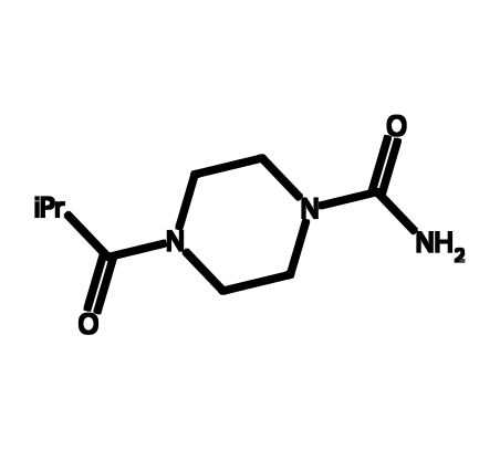 CC(C)C(=O)N1CCN(C(N)=O)CC1